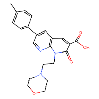 Cc1ccc(-c2cnc3c(c2)cc(C(=O)O)c(=O)n3CCN2CCOCC2)cc1